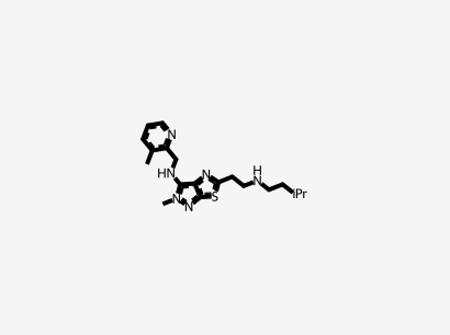 Cc1cccnc1CNc1c2nc(CCNCCC(C)C)sc2nn1C